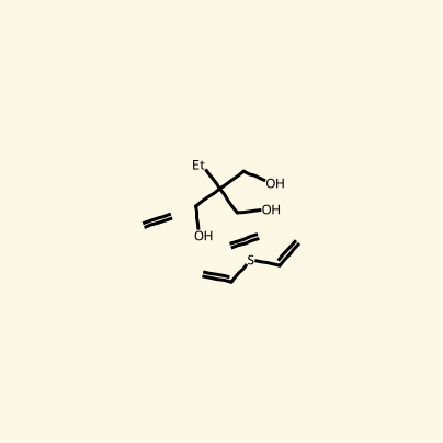 C=C.C=C.C=CSC=C.CCC(CO)(CO)CO